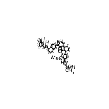 COc1nc(-c2cccc(-c3ccnc(-c4ccc5c(c4)CCC[C@@H]5NC[C@H]4CCC(=O)N4)c3Cl)c2Cl)ccc1CNC[C@@H](C)O